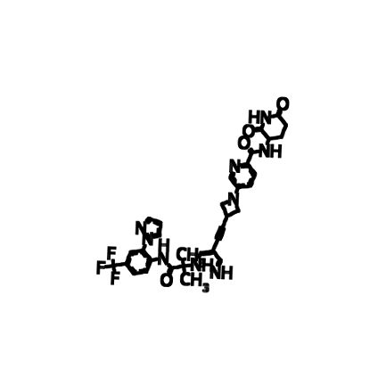 CC(C)(N/C=C(/C#CC1CN(c2ccc(C(=O)NC3CCC(=O)NC3=O)nc2)C1)C=N)C(=O)Nc1ccc(C(F)(F)F)cc1-n1cccn1